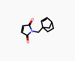 O=C1C=CC(=O)N1CC12C=CC(CC1)C2